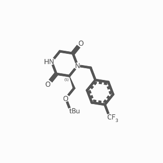 CC(C)(C)OC[C@H]1C(=O)NCC(=O)N1Cc1ccc(C(F)(F)F)cc1